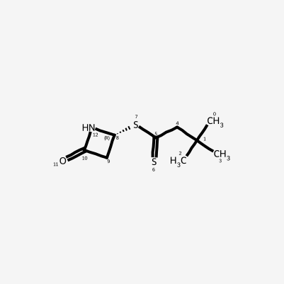 CC(C)(C)CC(=S)S[C@@H]1CC(=O)N1